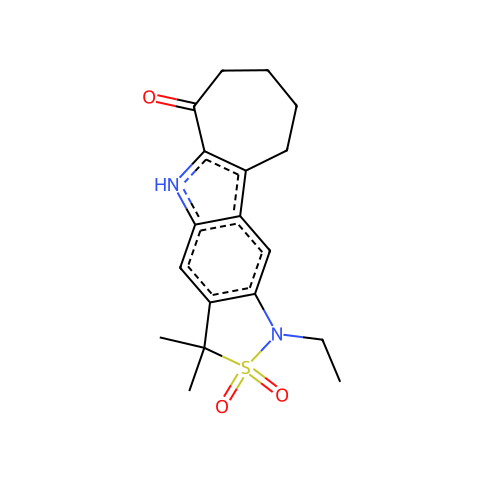 CCN1c2cc3c4c([nH]c3cc2C(C)(C)S1(=O)=O)C(=O)CCCC4